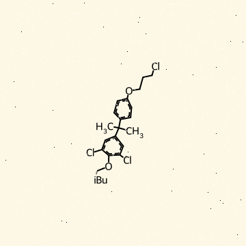 CC[C@@H](C)COc1c(Cl)cc(C(C)(C)c2ccc(OCCCCl)cc2)cc1Cl